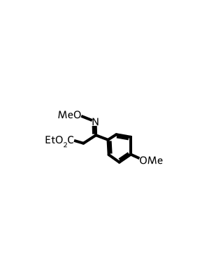 CCOC(=O)C/C(=N\OC)c1ccc(OC)cc1